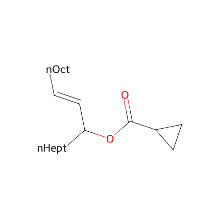 CCCCCCCCC=CC(CCCCCCC)OC(=O)C1CC1